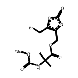 CC(C)(C)OC(=O)NC(C)(C)C(=O)OCc1oc(=O)oc1CBr